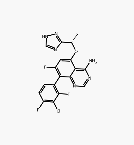 C[C@H](Oc1cc(F)c(-c2ccc(F)c(Cl)c2F)c2ncnc(N)c12)c1nc[nH]n1